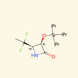 CC(C)[Si](O[C@H]1C(=O)N[C@H]1C(C)(F)F)(C(C)C)C(C)C